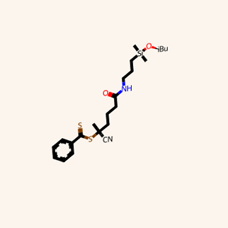 CC[C@H](C)O[Si](C)(C)CCCNC(=O)CCCC(C)(C#N)SC(=S)c1ccccc1